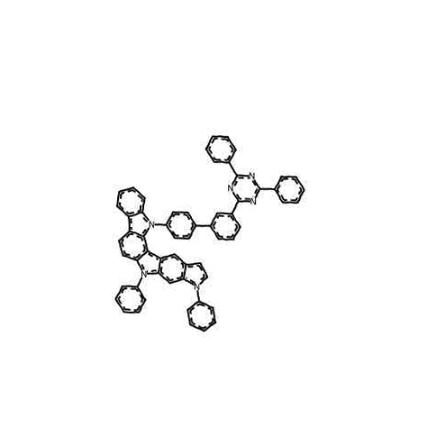 c1ccc(-c2nc(-c3ccccc3)nc(-c3cccc(-c4ccc(-n5c6ccccc6c6ccc7c(c8cc9ccn(-c%10ccccc%10)c9cc8n7-c7ccccc7)c65)cc4)c3)n2)cc1